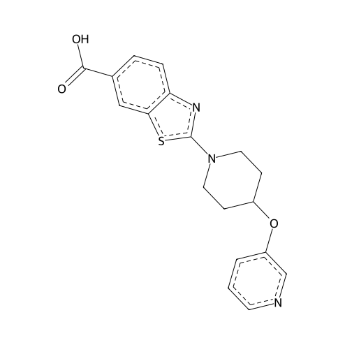 O=C(O)c1ccc2nc(N3CCC(Oc4cccnc4)CC3)sc2c1